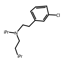 CC(C)CCN(CCc1cccc(Cl)c1)C(C)C